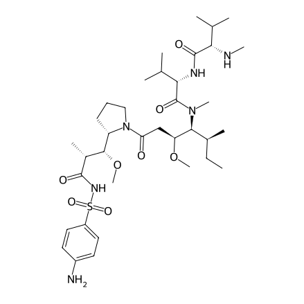 CC[C@H](C)[C@@H]([C@H](CC(=O)N1CCC[C@H]1[C@H](OC)[C@@H](C)C(=O)NS(=O)(=O)c1ccc(N)cc1)OC)N(C)C(=O)[C@@H](NC(=O)[C@@H](NC)C(C)C)C(C)C